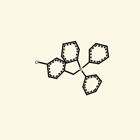 Clc1ccc(C[B-](c2ccccc2)(c2ccccc2)c2ccccc2)cc1